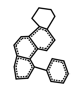 [c]1ccc(-c2cccc3ccc4c5c(ccc4c23)CCCC5)cc1